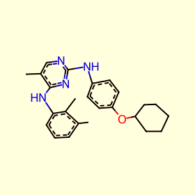 Cc1cnc(Nc2ccc(OC3CCCCC3)cc2)nc1Nc1cccc(C)c1C